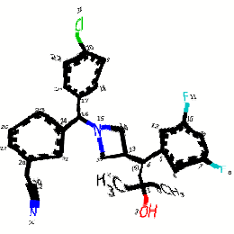 CC(C)(O)[C@H](c1cc(F)cc(F)c1)C1CN(C(c2ccc(Cl)cc2)c2cccc(C#N)c2)C1